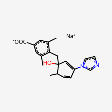 Cc1cc(C(=O)[O-])cc(C)c1CC1(O)C=C(n2ccnc2)C=CC1C.[Na+]